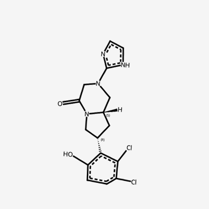 O=C1CN(c2ncc[nH]2)C[C@@H]2C[C@H](c3c(O)ccc(Cl)c3Cl)CN12